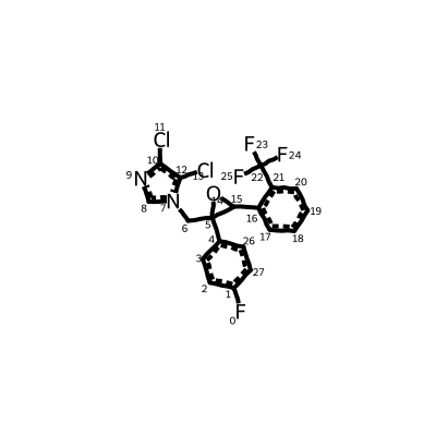 Fc1ccc(C2(Cn3cnc(Cl)c3Cl)OC2c2ccccc2C(F)(F)F)cc1